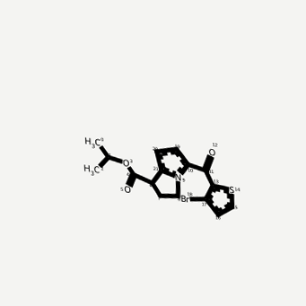 CC(C)OC(=O)C1CCn2c(C(=O)c3sccc3Br)ccc21